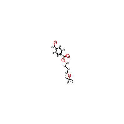 CC(C)(C)OCCCCOC(=O)c1ccc(C=O)cc1